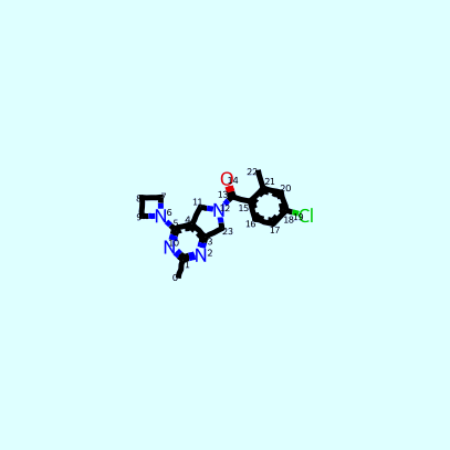 Cc1nc2c(c(N3CCC3)n1)CN(C(=O)c1ccc(Cl)cc1C)C2